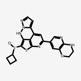 [O-][S+](c1sc2nc(-c3cnc4c(c3)OCCN4)cc3c2c1[nH]n1nccc31)C1CCC1